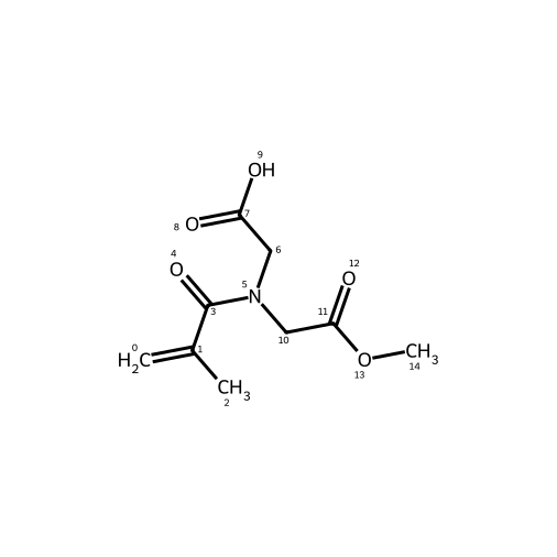 C=C(C)C(=O)N(CC(=O)O)CC(=O)OC